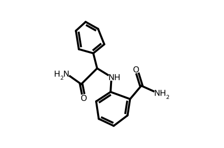 NC(=O)c1ccccc1NC(C(N)=O)c1ccccc1